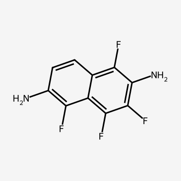 Nc1ccc2c(F)c(N)c(F)c(F)c2c1F